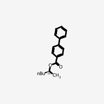 CCCC[C@H](C)OC(=O)c1ccc(-c2cc[c]cc2)cc1